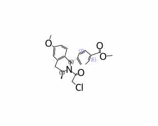 C=C(/C=C\C(=C/C)C(=O)OC)[C@H]1c2ccc(OC)cc2C[C@H](C)N1C(=O)CCl